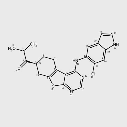 CN(C)C(=O)[C@H]1CCc2c(sc3ncnc(Nc4cc5cn[nH]c5cc4Cl)c23)C1